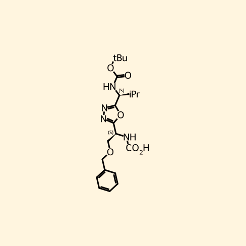 CC(C)[C@H](NC(=O)OC(C)(C)C)c1nnc([C@H](COCc2ccccc2)NC(=O)O)o1